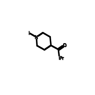 CC(C)C(=O)C1CCN(I)CC1